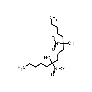 CCCCCC(O)(CSCC(O)(CCCCC)[N+](=O)[O-])[N+](=O)[O-]